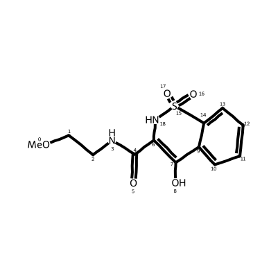 COCCNC(=O)C1=C(O)c2ccccc2S(=O)(=O)N1